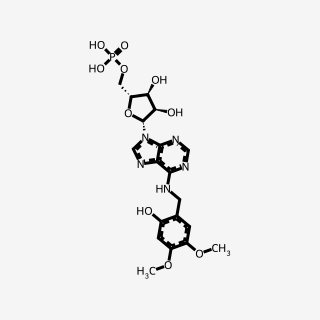 COc1cc(O)c(CNc2ncnc3c2ncn3[C@@H]2O[C@H](COP(=O)(O)O)[C@@H](O)[C@H]2O)cc1OC